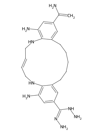 C=C(N)c1cc(N)c2c(c1)CCCCCc1cc(/C(=N/N)NN)cc(N)c1NC/C=C/CN2